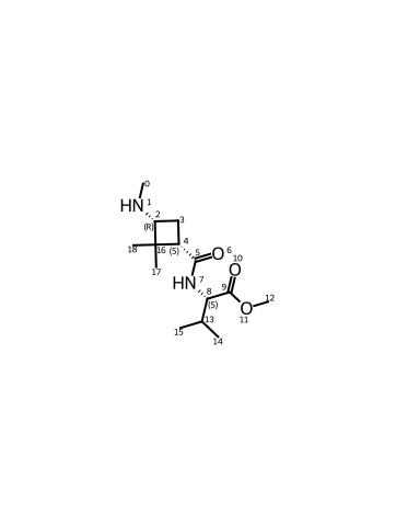 CN[C@@H]1C[C@H](C(=O)N[C@H](C(=O)OC)C(C)C)C1(C)C